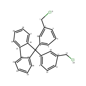 ClCc1cccc(C2(c3cccc(CCl)c3)c3ccccc3-c3ccccc32)c1